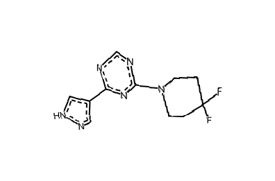 FC1(F)CCN(c2ncnc(-c3cn[nH]c3)n2)CC1